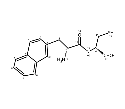 N[C@H](Cc1ccc2ccccc2c1)C(=O)N[C@H]([C]=O)CS